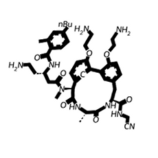 CCCCc1ccc(C(=O)N[C@@H](CCN)CC(=O)N(C)[C@@H]2C(=O)N[C@@H](C)C(=O)N[C@H](C(=O)NCC#N)Cc3ccc(OCCN)c(c3)-c3cc2ccc3OCCN)c(C)c1